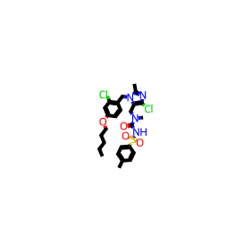 CCCCCOc1ccc(Cn2c(C)nc(Cl)c2CN(C)C(=O)NS(=O)(=O)c2ccc(C)cc2)c(Cl)c1